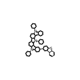 C1=CC2Sc3ccc(-c4ccc5c(c4)c4c(ccc6c7ccc8c(c9ccccc9n8-c8ccccc8)c7n(-c7ccccc7)c64)n5-c4ccccc4)cc3C2C=C1